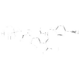 CC(C)(C)OC(=O)N[C@H]1CSc2c(C(=O)O)cn(Cc3ccc(C#N)cc3)c(=O)c21